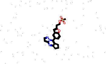 CS(=O)(=O)OCCc1cc2cc(-c3c4c(nc5ccnn35)CCC4)ccc2o1